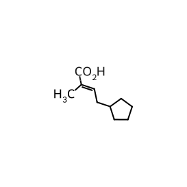 CC(=CCC1CCCC1)C(=O)O